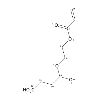 C=CC(=O)OCCOC(O)CCC(=O)O